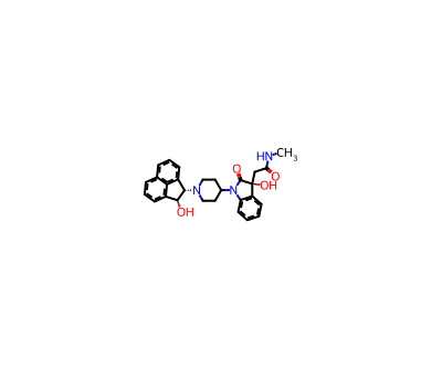 CNC(=O)C[C@@]1(O)C(=O)N(C2CCN([C@H]3c4cccc5cccc(c45)[C@@H]3O)CC2)c2ccccc21